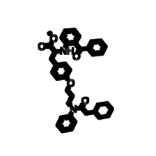 COC(=O)C(Cc1ccc(OCCCN(C(=O)CC2CCCCC2)c2ccccc2)cc1)Nc1ccccc1C(=O)c1ccccc1